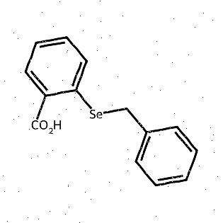 O=C(O)c1ccccc1[Se]Cc1ccccc1